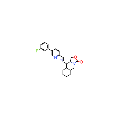 O=C1OCC2C(/C=C/c3ccc(-c4cccc(F)c4)cn3)C3CCCCC3CN12